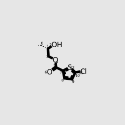 [CH2][C@H](O)COC(=O)c1ccc(Cl)s1